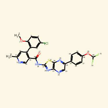 COc1ccc(Cl)cc1-c1cc(C)ncc1C(=O)Nc1nc2ncc(-c3ccc(OC(F)F)cc3)nc2s1